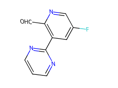 O=Cc1ncc(F)cc1-c1ncccn1